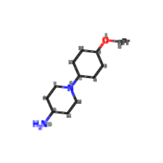 CCCOC1CCC(N2CCC(N)CC2)CC1